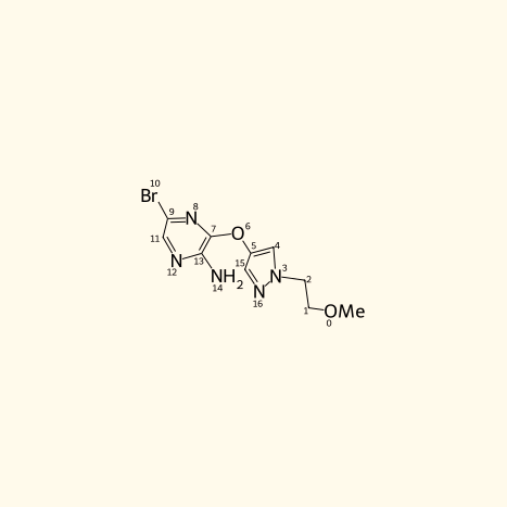 COCCn1cc(Oc2nc(Br)cnc2N)cn1